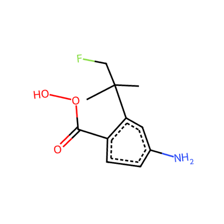 CC(C)(CF)c1cc(N)ccc1C(=O)OO